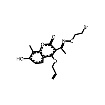 C=CCOc1c(/C(C)=N/OCCBr)c(=O)oc2c(C)c(O)ccc12